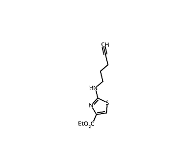 C#CCCCNc1nc(C(=O)OCC)cs1